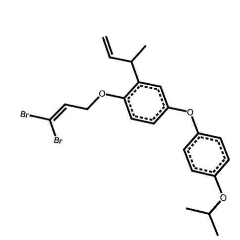 C=CC(C)c1cc(Oc2ccc(OC(C)C)cc2)ccc1OCC=C(Br)Br